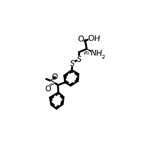 CS(=O)(=O)C(c1ccccc1)c1cccc(SSC[C@H](N)C(=O)O)c1